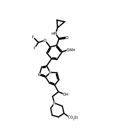 CCOC(=O)C1CCCN(CC(O)c2ccn3c(-c4cc(OC)c(C(=O)NC5CC5)c(OC(F)F)c4)cnc3c2)C1